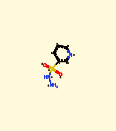 NNS(=O)(=O)c1cccnc1